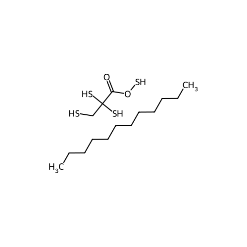 CCCCCCCCCCCC.O=C(OS)C(S)(S)CS